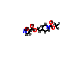 CC(C)(C)OC(=O)N1CCC(CCOC(=O)c2ccno2)CC1